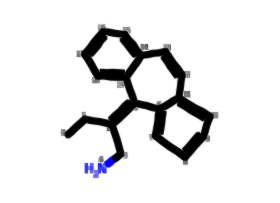 CCC(CN)=C1c2ccccc2C=Cc2ccccc21